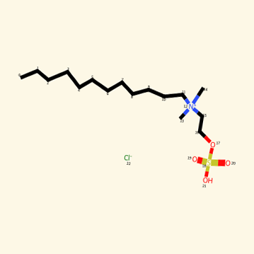 CCCCCCCCCCCC[N+](C)(C)CCOS(=O)(=O)O.[Cl-]